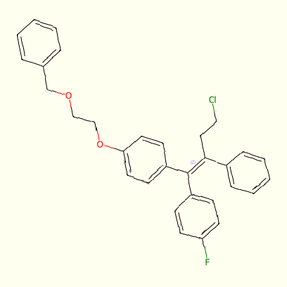 Fc1ccc(/C(=C(/CCCl)c2ccccc2)c2ccc(OCCOCc3ccccc3)cc2)cc1